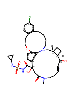 CN1CC/C=C/[C@H](O)[C@@H]2CC[C@H]2CN2CCCCc3cc(Cl)ccc3CCOc3ccc(cc32)[C@@](O)(C(=O)NS(=O)(=O)NC2CC2)CC1=O